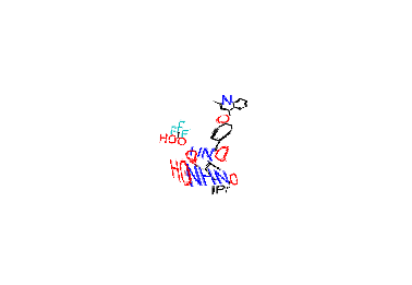 Cc1cc(COc2ccc(C(=O)N[C@@H]3CN(C(=O)C(C)C)C[C@@H]3C(=O)NO)cc2)c2ccccc2n1.O=C(O)C(F)(F)F